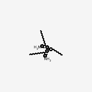 CCCCCCCCCCCCC(c1ccc(C2(c3ccc(C(CCCCCCCCCCCC)c4ccc(N)cc4C)cc3)CCC(CCCCCCCCC)CC2)cc1)c1ccc(N)cc1C